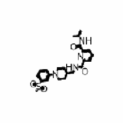 CC(C)NC(=O)c1cccc(C(=O)NCC2CCN(c3cccc(S(C)(=O)=O)c3)CC2)n1